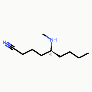 CCCC[C@@H](CCCC#N)NC